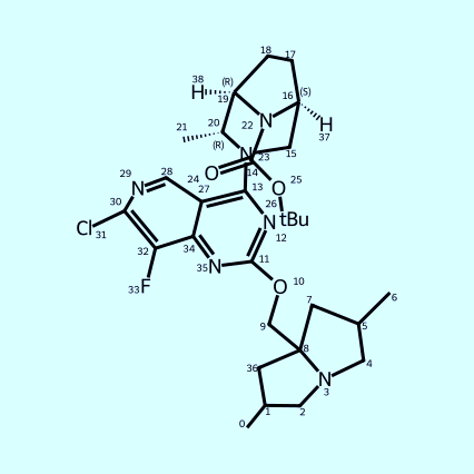 CC1CN2CC(C)CC2(COc2nc(N3C[C@@H]4CC[C@H]([C@H]3C)N4C(=O)OC(C)(C)C)c3cnc(Cl)c(F)c3n2)C1